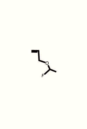 C=CCOC(C)F